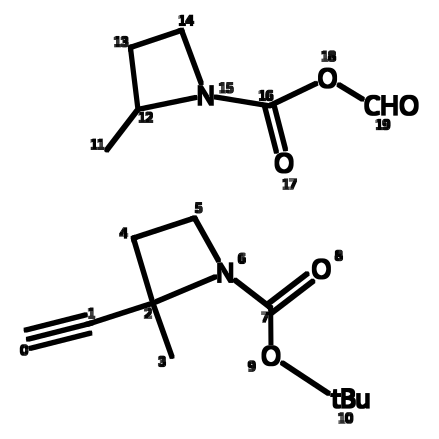 C#CC1(C)CCN1C(=O)OC(C)(C)C.CC1CCN1C(=O)OC=O